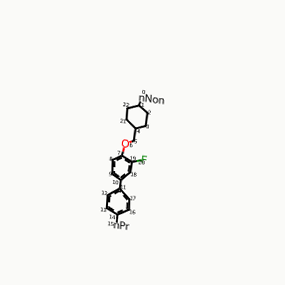 CCCCCCCCCC1CCC(COc2ccc(-c3ccc(CCC)cc3)cc2F)CC1